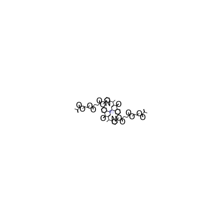 C=C(C)C(=O)OCCOC(=O)CCC(=O)Oc1cccc(C(C)C2=C/C(=C3/C=C(C(C)c4cccc(OC(=O)CCC(=O)OCCOC(=O)C(=C)C)n4)C(=O)c4ccccc43)c3ccccc3C2=O)n1